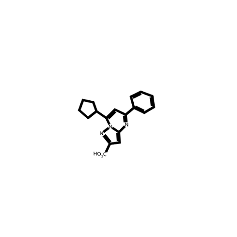 O=C(O)c1cc2nc(-c3ccccc3)cc(C3CCCC3)n2n1